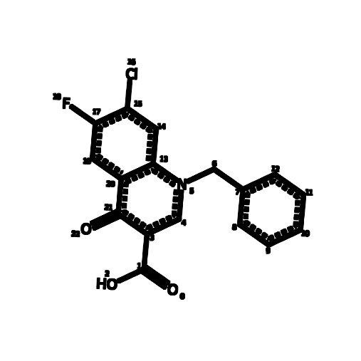 O=C(O)c1cn(Cc2ccccc2)c2cc(Cl)c(F)cc2c1=O